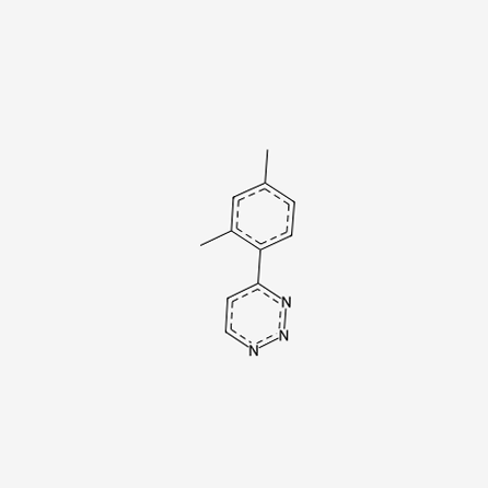 Cc1ccc(-c2ccnnn2)c(C)c1